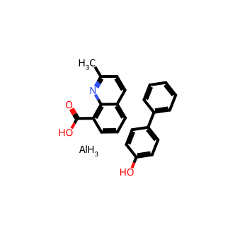 Cc1ccc2cccc(C(=O)O)c2n1.Oc1ccc(-c2ccccc2)cc1.[AlH3]